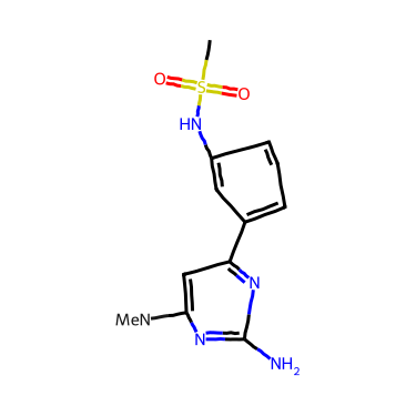 CNc1cc(-c2cccc(NS(C)(=O)=O)c2)nc(N)n1